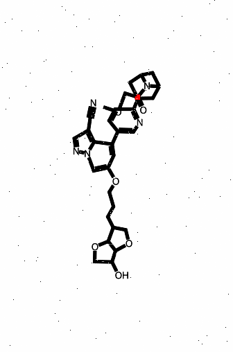 COCC(=O)N1C2CC1CN(c1ccc(-c3cc(OCCCC4COC5C(O)COC45)cn4ncc(C#N)c34)cn1)C2